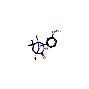 CCOc1cccc(N2C[C@@H]3CC(C)(C)[C@H]2CNC3=O)c1